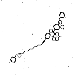 COc1cc(-c2oc3ccc(C#CCCCCCCCCCCOCc4ccccc4)cc3c(=O)c2OC(C)=O)ccc1OCc1ccccc1